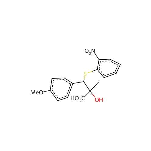 COc1ccc(C(Sc2ccccc2[N+](=O)[O-])C(C)(O)C(=O)O)cc1